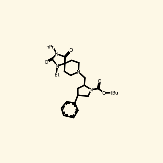 CCCN1C(=O)N(CC)C2(CCN(CC3CC(c4ccccc4)CN3C(=O)OC(C)(C)C)CC2)C1=O